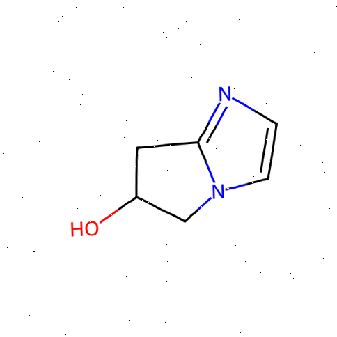 OC1Cc2nccn2C1